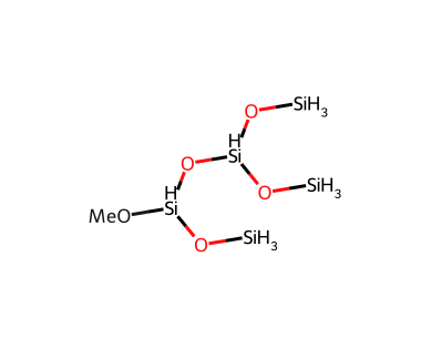 CO[SiH](O[SiH3])O[SiH](O[SiH3])O[SiH3]